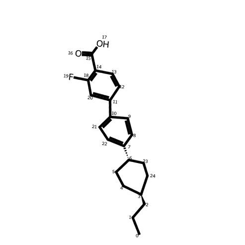 CCC[C@H]1CC[C@H](c2ccc(-c3ccc(C(=O)O)c(F)c3)cc2)CC1